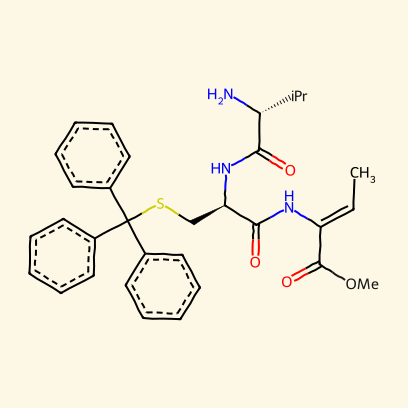 C/C=C(\NC(=O)[C@@H](CSC(c1ccccc1)(c1ccccc1)c1ccccc1)NC(=O)[C@H](N)C(C)C)C(=O)OC